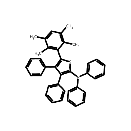 Cc1cc(C)c(C)c(-c2sc(N(c3ccccc3)c3ccccc3)c(-c3ccccc3)c2-c2ccccc2)c1C